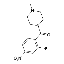 CN1CCN(C(=O)c2ccc([N+](=O)[O-])cc2F)CC1